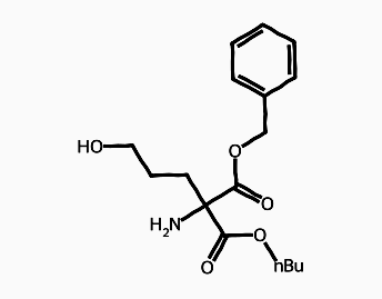 CCCCOC(=O)C(N)(CCCO)C(=O)OCc1ccccc1